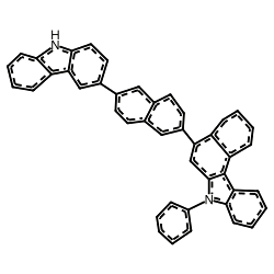 c1ccc(-n2c3ccccc3c3c4ccccc4c(-c4ccc5cc(-c6ccc7[nH]c8ccccc8c7c6)ccc5c4)cc32)cc1